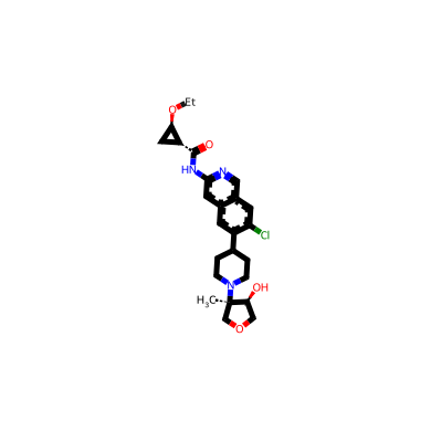 CCO[C@@H]1C[C@H]1C(=O)Nc1cc2cc(C3CCN([C@]4(C)COC[C@@H]4O)CC3)c(Cl)cc2cn1